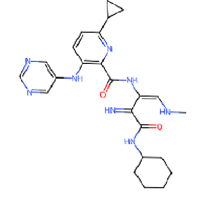 CN/C=C(/NC(=O)c1nc(C2CC2)ccc1Nc1cncnc1)C(=N)C(=O)NC1CCCCC1